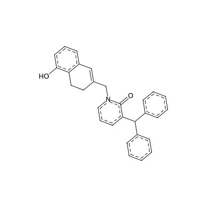 O=c1c(C(c2ccccc2)c2ccccc2)cccn1CC1=Cc2cccc(O)c2CC1